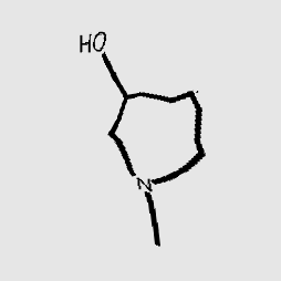 CN1C[CH]C(O)C1